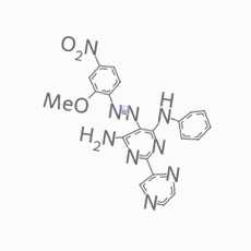 COc1cc([N+](=O)[O-])ccc1/N=N/c1c(N)nc(-c2cnccn2)nc1Nc1ccccc1